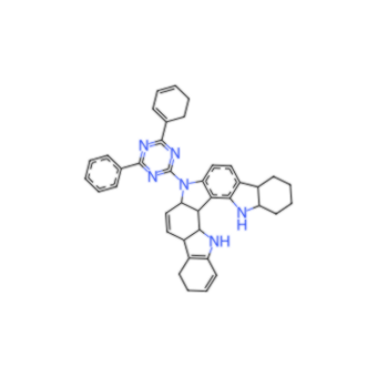 C1=CCCC(c2nc(-c3ccccc3)nc(N3c4ccc5c(c4C4C6NC7=C(CCC=C7)C6C=CC43)NC3CCCCC53)n2)=C1